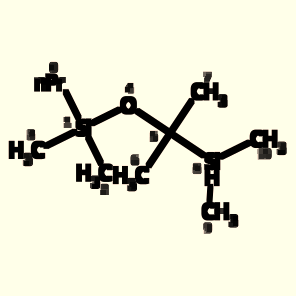 CCC[Si](C)(C)OC(C)(C)[SiH](C)C